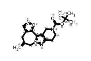 C=C1Cc2cnoc2-c2c3c(nn2C1)CCN(C(=O)OC(C)(C)C)C3